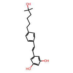 CC(C)(O)CCCCc1ccc(/C=C/c2cc(O)cc(O)c2)cc1